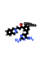 COc1cc(Cc2cnc(N)nc2N)cc(C(=O)/C=C/N2Cc3ccccc3C=N2)c1OC